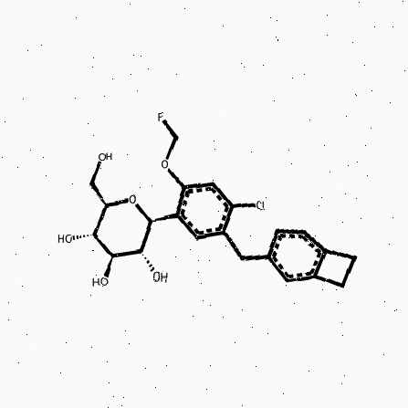 OC[C@H]1O[C@@H](c2cc(Cc3ccc4c(c3)CC4)c(Cl)cc2OCF)[C@H](O)[C@@H](O)[C@@H]1O